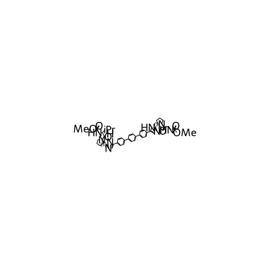 COC(=O)NCC(=O)N1CCC[C@H]1c1ncc(-c2ccc(-c3ccc(-c4ccc(-c5cnc([C@@H]6CCCN6C(=O)C(NC(=O)OC)C(C)C)[nH]5)cc4)cc3)cc2)[nH]1